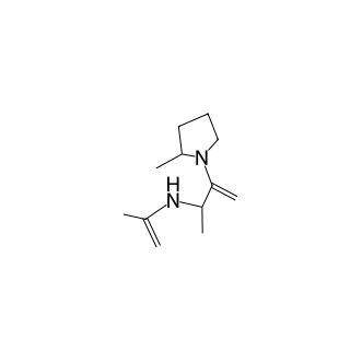 C=C(C)NC(C)C(=C)N1CCCC1C